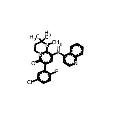 CN1c2c(Nc3ccnc4ccccc34)cc(-c3cc(Cl)ccc3F)c(=O)n2CCC1(C)C